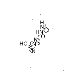 Nc1ccccc1NC(=O)Cc1csc(N(Cc2nccs2)C(=O)O)n1